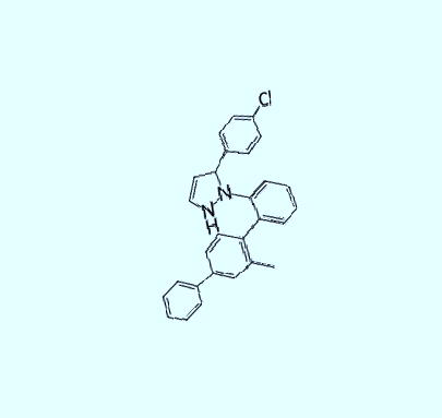 Cc1cc(-c2ccccc2)ccc1-c1ccccc1N1NC=CC1c1ccc(Cl)cc1